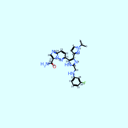 CC(C)n1ccc(-c2nc(CNc3cccc(F)c3)[nH]c2-c2ccc3ncc(C(N)=O)n3n2)n1